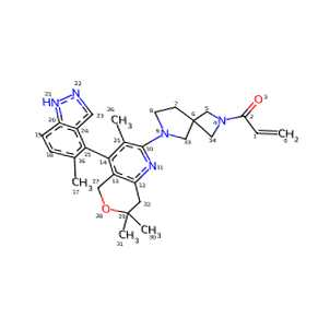 C=CC(=O)N1CC2(CCN(c3nc4c(c(-c5c(C)ccc6[nH]ncc56)c3C)COC(C)(C)C4)C2)C1